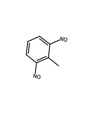 Cc1c(N=O)cccc1N=O